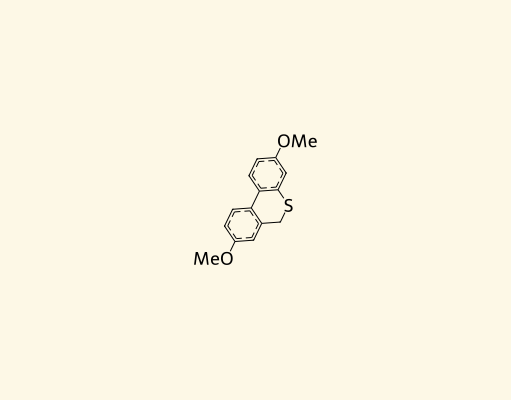 COc1ccc2c(c1)CSc1cc(OC)ccc1-2